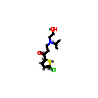 CC(C)N(CCO)CCC(=O)c1ccc(Cl)s1